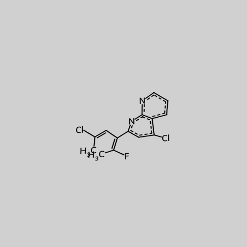 C/C(F)=C(\C=C(/C)Cl)c1cc(Cl)c2cccnc2n1